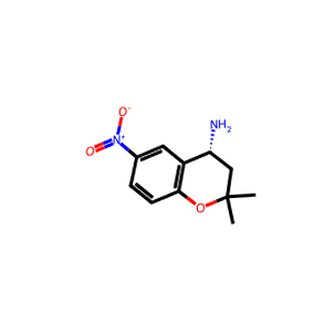 CC1(C)C[C@@H](N)c2cc([N+](=O)[O-])ccc2O1